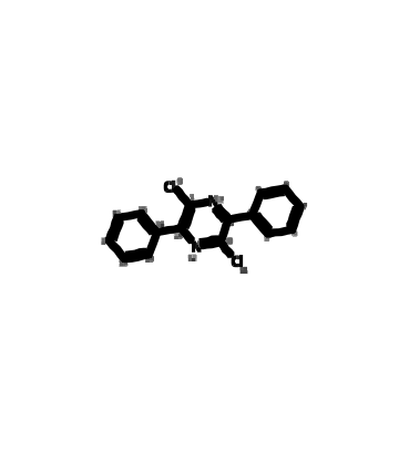 Clc1nc(-c2ccccc2)c(Cl)nc1-c1ccccc1